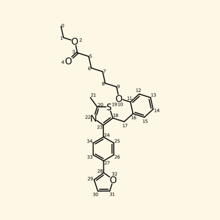 CCOC(=O)CCCCCOc1ccccc1Cc1sc(C)nc1-c1ccc(-c2ccco2)cc1